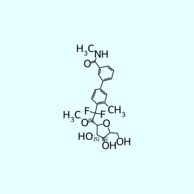 CNC(=O)c1cccc(-c2ccc(C(F)(F)[C@@H](OC)C3OC(CO)[C@@H](O)[C@@H]3O)c(C)c2)c1